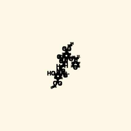 CCOC(=O)c1cc(O)c(NC/C=C/CNc2c(OCC(C)N3CCOCC3)cc(C(=O)OCC)cc2[N+](=O)[O-])c([N+](=O)[O-])c1